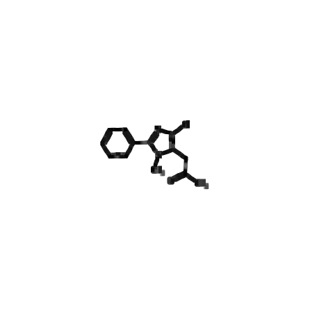 CC(=O)Cc1c(Cl)nc(-c2ccccc2)n1C